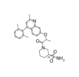 Cc1cc(-c2c(C)cccc2C)c2ccc(OC(C)C(=O)N3CCC[C@H](S(N)(=O)=O)C3)cc2n1